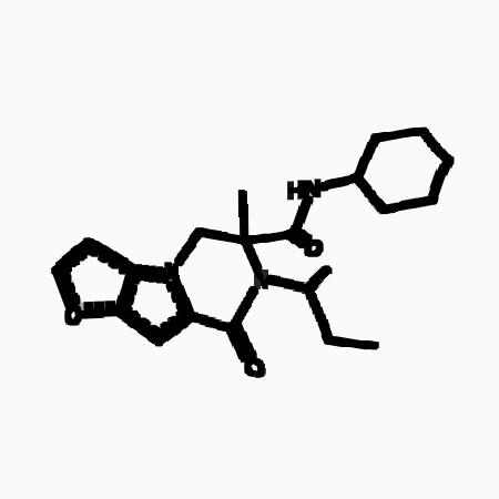 CCC(C)N1C(=O)c2cc3occc3n2CC1(C)C(=O)NC1CCCCC1